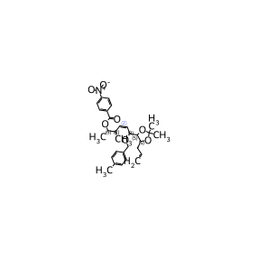 C=CC[C@@H]1OC(C)(C)O[C@@H]1[C@@H](/C=C\[C@@H](C)[C@H](C)OC(=O)c1ccc([N+](=O)[O-])cc1)OCc1ccc(C)cc1